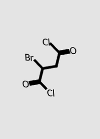 O=C(Cl)CC(Br)C(=O)Cl